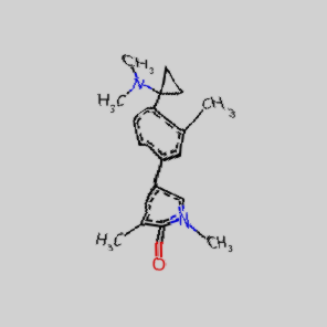 Cc1cc(-c2cc(C)c(=O)n(C)c2)ccc1C1(N(C)C)CC1